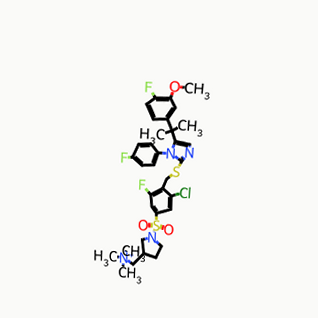 COc1cc(C(C)(C)c2cnc(SCc3c(F)cc(S(=O)(=O)N4CCC(C[N+](C)(C)C)C4)cc3Cl)n2-c2ccc(F)cc2)ccc1F